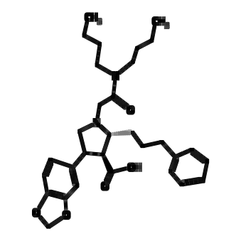 CCCCN(CCCC)C(=O)CN1CC(c2ccc3c(c2)OCO3)[C@H](C(=O)O)[C@H]1CCCc1ccccc1